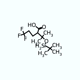 CC(C)(C)[SiH2]OC(C)(C)C(CCC(F)(F)F)C(=O)O